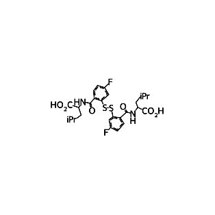 CC(C)CC(NC(=O)c1ccc(F)cc1SSc1cc(F)ccc1C(=O)NC(CC(C)C)C(=O)O)C(=O)O